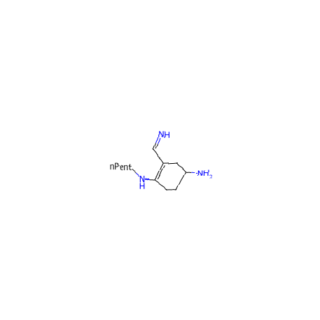 CCCCCNC1=C(C=N)CC(N)CC1